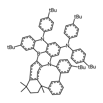 CC(C)(C)c1ccc(N(c2ccc(C(C)(C)C)cc2)c2cc3c4c(c2)N2c5cc6c(cc5B4c4cc(C(C)(C)C)ccc4N3c3ccc(C(C)(C)C)cc3)C(C)(C)CCC6(C)c3cccc(c3)-c3cc(C(C)(C)C)ccc32)cc1